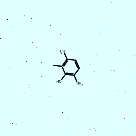 Cc1c(N)ccc(N)c1O